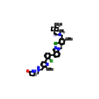 COc1cc(Cn2ncc3c(-c4cccc(-c5ccc(CNC[C@@H]6CCC(=O)N6)c(OC)n5)c4Cl)cccc32)c(Cl)cc1CN(C)/C=C\[C@]12CC[C@@]1(C(=O)O)CC2